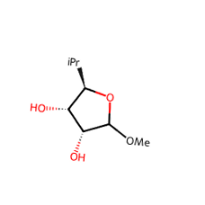 COC1O[C@H](C(C)C)[C@@H](O)[C@H]1O